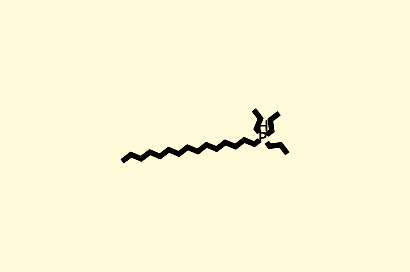 CCCCCCCCCCCCCCC[PH](CCC)(CCC)CCC